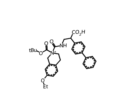 CCOc1ccc2c(c1)C[N+](C(=O)NCC(C(=O)O)c1ccc(-c3ccccc3)cc1)(C(=O)OC(C)(C)C)CC2